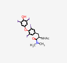 CC(=O)NC(Cc1cc(I)c(Oc2cc(I)c(O)c(I)c2)c(I)c1)C(=O)N(C)C